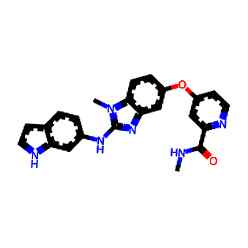 CNC(=O)c1cc(Oc2ccc3c(c2)nc(Nc2ccc4cc[nH]c4c2)n3C)ccn1